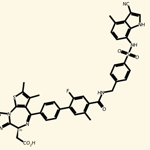 Cc1cc(-c2ccc(C3=N[C@@H](CC(=O)O)c4nnc(C)n4-c4sc(C)c(C)c43)cc2)c(F)cc1C(=O)NCc1ccc(S(=O)(=O)Nc2ccc(C)c3c(C#N)c[nH]c23)cc1